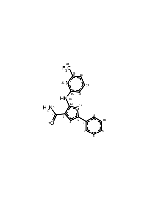 NC(=O)c1cc(-c2ccccc2)sc1Nc1cccc(C(F)(F)F)n1